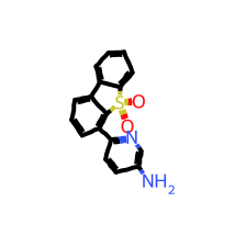 Nc1ccc(-c2cccc3c2S(=O)(=O)c2ccccc2-3)nc1